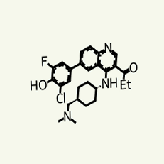 CCC(=O)c1cnc2ccc(-c3cc(F)c(O)c(Cl)c3)cc2c1N[C@H]1CC[C@H](CN(C)C)CC1